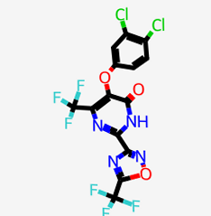 O=c1[nH]c(-c2noc(C(F)(F)F)n2)nc(C(F)(F)F)c1Oc1ccc(Cl)c(Cl)c1